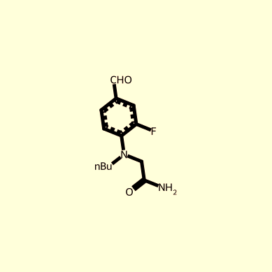 CCCCN(CC(N)=O)c1ccc(C=O)cc1F